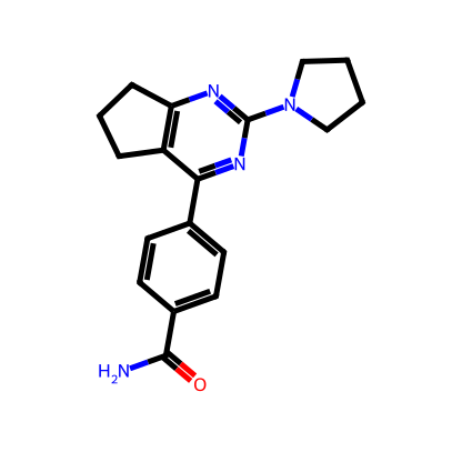 NC(=O)c1ccc(-c2nc(N3CCCC3)nc3c2CCC3)cc1